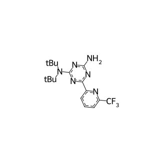 CC(C)(C)N(c1nc(N)nc(-c2cccc(C(F)(F)F)n2)n1)C(C)(C)C